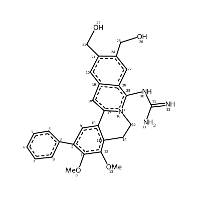 COc1c(-c2ccccc2)cc2c(c1OC)CC[n+]1c-2cc2cc(CO)c(CO)cc2c1NC(=N)N